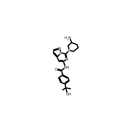 CC(C)(O)c1ccc(C(=O)Nc2cc3ccnn3c(N3CCCC(N)C3)n2)cc1